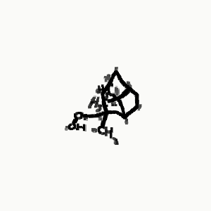 CC1(OO)CCC2CC1C2(C)C